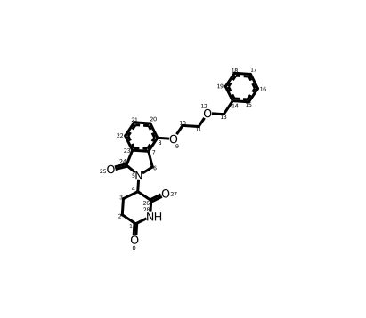 O=C1CCC(N2Cc3c(OCCOCc4ccccc4)cccc3C2=O)C(=O)N1